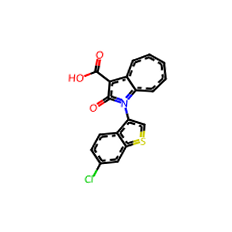 O=C(O)c1c2cccccc-2n(-c2csc3cc(Cl)ccc23)c1=O